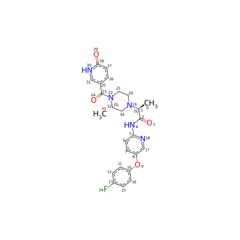 C[C@@H](C(=O)Nc1ccc(Oc2ccc(F)cc2)cn1)N1CCN(C(=O)c2ccc(=O)[nH]c2)[C@@H](C)C1